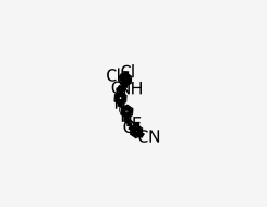 N#Cc1ccc(OCCN2CCC[C@@H](CN3CCN(C(=O)Nc4ccc(Cl)c(Cl)c4)CC3)C2)c(F)c1